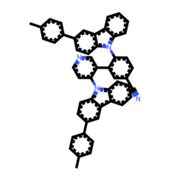 Cc1ccc(-c2ccc3c(c2)c2ccccc2n3-c2ccncc2-c2cc(C#N)ccc2-n2c3ccccc3c3cc(-c4ccc(C)cc4)ccc32)cc1